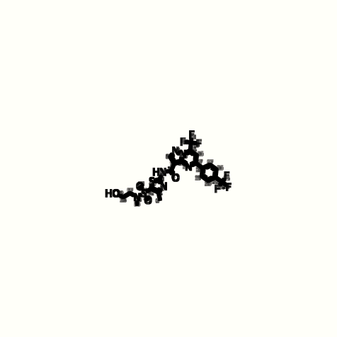 Cc1nc(NC(=O)c2cnn3c(C(F)(F)F)cc(-c4ccc(C(F)(F)F)cc4)nc23)sc1S(=O)(=O)N(C)CCO